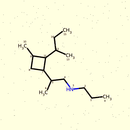 CCCNCC(C)C1CC(C)C1C(C)CC